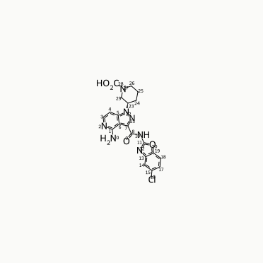 Nc1nccc2c1c(C(=O)Nc1nc3cc(Cl)ccc3o1)nn2[C@@H]1CCCN(C(=O)O)C1